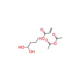 C=CC(=O)O.CC(=O)OC(C)=O.CCCC(O)O